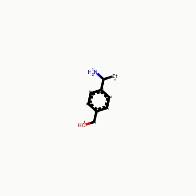 CCC(N)c1ccc(CO)cc1